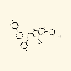 Cc1ccc(N2CCC[C@H](N(Cc3ccnc(C)c3)Cc3cn(C4CC4)c4nc(N5CC[C@@H](O)C5)c(F)cc4c3=O)C2)cn1